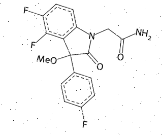 COC1(c2ccc(F)cc2)C(=O)N(CC(N)=O)c2ccc(F)c(F)c21